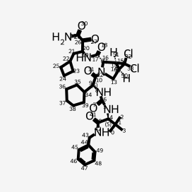 CC(C)(C)[C@H](NC(=O)N[C@H](C(=O)N1C[C@H]2[C@@H]([C@H]1C(=O)NC(CC1CCC1)C(=O)C(N)=O)C2(Cl)Cl)C1CCCCC1)C(=O)NCc1ccccc1